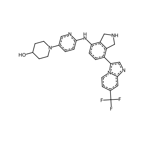 OC1CCN(c2ccc(Nc3ccc(-c4cnc5cc(C(F)(F)F)ccn45)c4c3CNC4)nc2)CC1